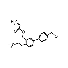 C=CC(=O)OCc1cc(-c2ccc(CO)cc2)ccc1CCC